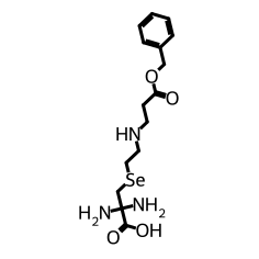 NC(N)(C[Se]CCNCCC(=O)OCc1ccccc1)C(=O)O